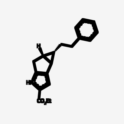 CCOC(=O)c1cc2c([nH]1)C[C@H]1C2[C@H]1CCc1ccccc1